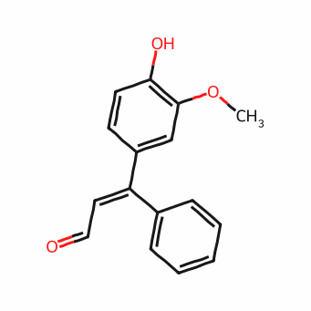 COc1cc(C(=CC=O)c2ccccc2)ccc1O